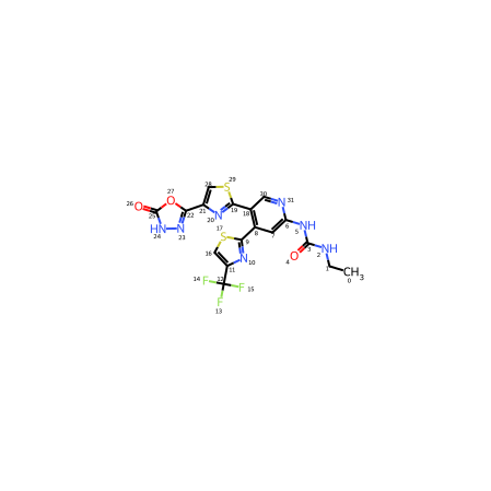 CCNC(=O)Nc1cc(-c2nc(C(F)(F)F)cs2)c(-c2nc(-c3n[nH]c(=O)o3)cs2)cn1